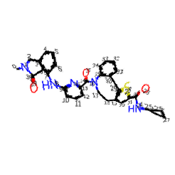 CN1Cc2cccc(Nc3cccc(C(=O)N4CCc5cc(C(=O)NC6CC6)sc5-c5ccccc54)n3)c2C1=O